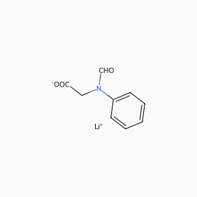 O=CN(CC(=O)[O-])c1ccccc1.[Li+]